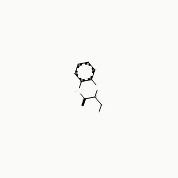 CCC1Oc2ccccc2[N]C1=O